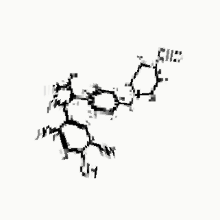 Cc1[nH]nc(C2=CC(C(C)C)C(O)C=C2O)c1-c1ccc(CN2CCN(C=O)CC2)cc1